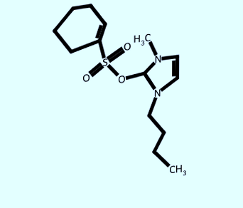 CCCCN1C=CN(C)C1OS(=O)(=O)C1=CCCCC1